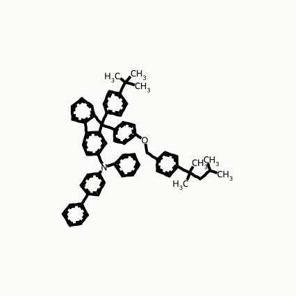 CC(C)CC(C)(C)c1ccc(COc2ccc(C3(c4ccc(C(C)(C)C)cc4)c4ccccc4-c4ccc(N(c5ccccc5)c5ccc(-c6ccccc6)cc5)cc43)cc2)cc1